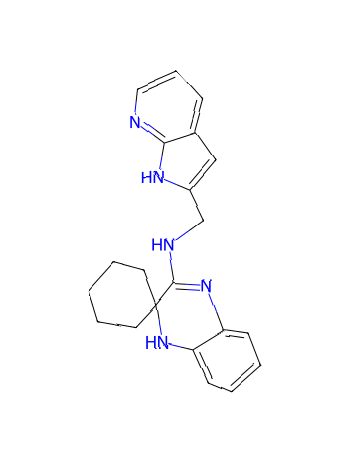 c1ccc2c(c1)N=C(NCc1cc3cccnc3[nH]1)C1(CCCCC1)N2